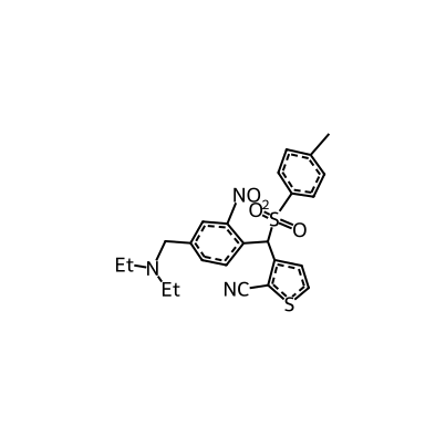 CCN(CC)Cc1ccc(C(c2ccsc2C#N)S(=O)(=O)c2ccc(C)cc2)c([N+](=O)[O-])c1